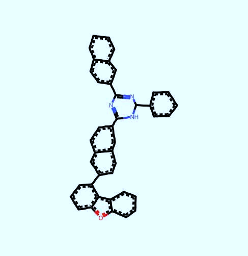 c1ccc(C2N=C(c3ccc4ccccc4c3)N=C(c3ccc4cc(-c5cccc6oc7ccccc7c56)ccc4c3)N2)cc1